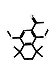 COc1cc(C(C)=O)c(OC)c2c1C(C)(C)CCC2(C)C